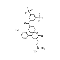 CN(C)CCN1CC(c2ccccc2)C2(CCN(C(=O)c3cc(C(F)(F)F)cc(C(F)(F)F)c3)CC2)OC1=O.Cl